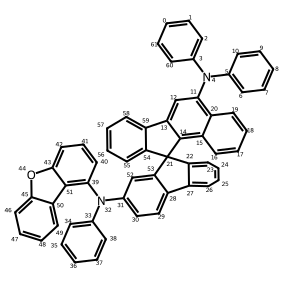 c1ccc(N(c2ccccc2)c2cc3c(c4ccccc24)C2(c4ccccc4-c4ccc(N(c5ccccc5)c5cccc6oc7ccccc7c56)cc42)c2ccccc2-3)cc1